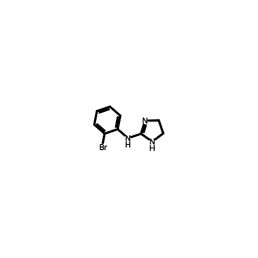 Brc1ccccc1NC1=NCCN1